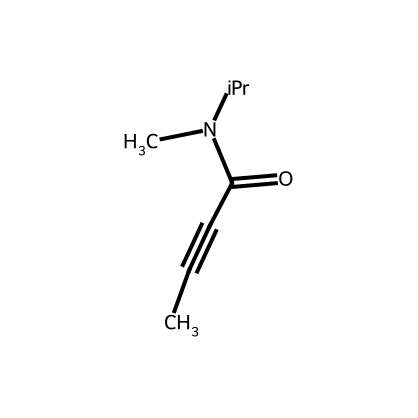 CC#CC(=O)N(C)C(C)C